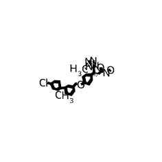 Cc1cc(Cl)ccc1-c1cccc(COc2ccc([C@H](CC(=O)N=O)c3nnnn3C)cc2)c1